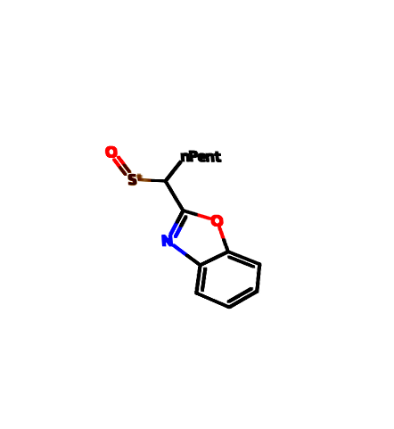 CCCCCC([S+]=O)c1nc2ccccc2o1